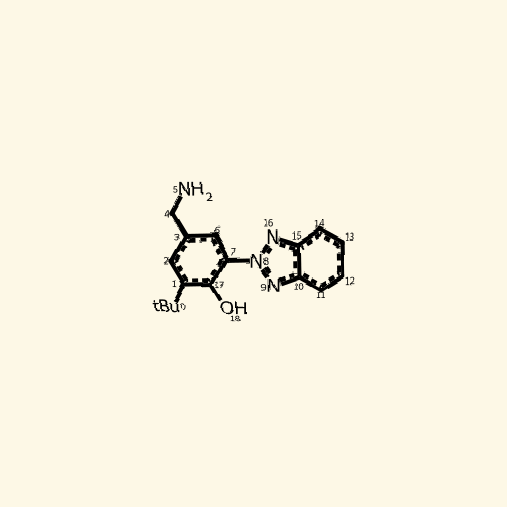 CC(C)(C)c1cc(CN)cc(-n2nc3ccccc3n2)c1O